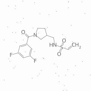 C=CS(=O)(=O)NCC1CCN(C(=O)c2cc(F)cc(F)c2)C1